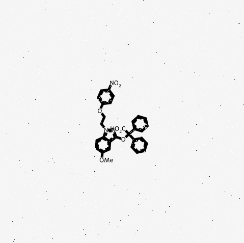 COc1ccc2c(c1)c(OC(C(=O)O)(c1ccccc1)c1ccccc1)nn2CCOc1ccc([N+](=O)[O-])cc1